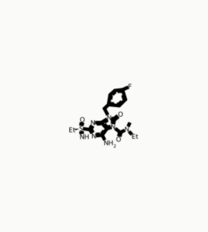 CCN(C)C(=O)n1c(=O)n(Cc2ccc(F)cc2)c2nc([S@@](=N)(=O)CC)nc(N)c21